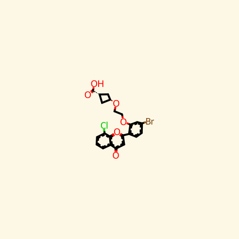 O=c1cc(-c2ccc(Br)cc2OCCO[C@H]2C[C@@H](C(=O)O)C2)oc2c(Cl)cccc12